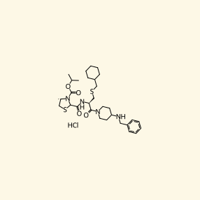 CC(C)OC(=O)N1[CH]CSC1C(=O)N[C@@H](CSCC1CCCCC1)C(=O)N1CCC(NCc2ccccc2)CC1.Cl